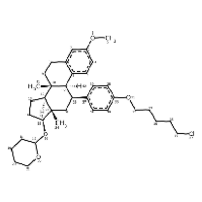 COc1ccc2c(c1)CC[C@@]1(C)[C@@H]3CC[C@H](OC4CCCCO4)[C@@]3(C)C[C@H](c3ccc(OCCCCCCl)cc3)[C@H]21